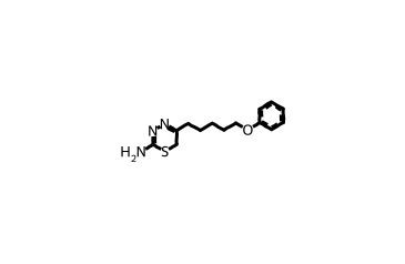 NC1=NN=C(CCCCCOc2ccccc2)CS1